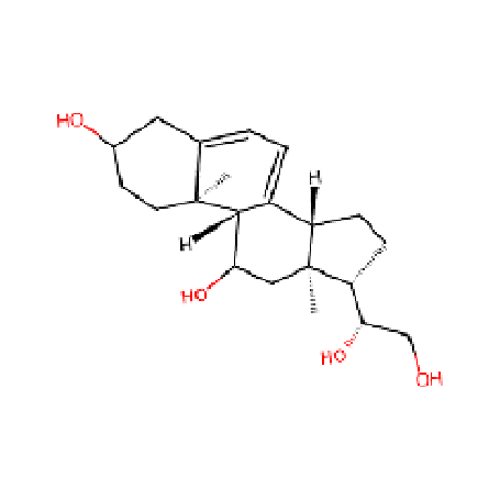 C[C@]12CC(O)[C@H]3C(=CC=C4CC(O)CC[C@@]43C)[C@@H]1CC[C@@H]2[C@@H](O)CO